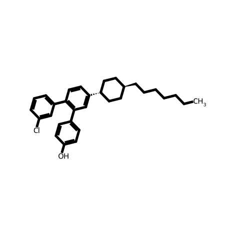 CCCCCCC[C@H]1CC[C@H](c2ccc(-c3cccc(Cl)c3)c(-c3ccc(O)cc3)c2)CC1